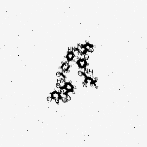 CN1C(=O)CCC(N2C(=O)c3cccc(NCC(=O)N4CCN(c5ccc(Nc6nc(Oc7cccc(NC(=O)/C(C#N)=C/C(C)(C)C)c7)c7occc7n6)cc5)CC4)c3C2=O)C1=O